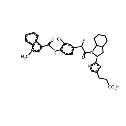 Cn1cc(C(=O)Nc2ccc(C(F)C(=O)N3C4CCCCC4C[C@H]3c3ncc(CCC(=O)O)s3)cc2Cl)c2ccccc21